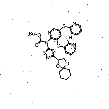 Cc1ncccc1Oc1cc(Sc2ccccn2)cnc1N(C(=O)OC(C)(C)C)c1nc([C@H]2COC3(CCCCC3)O2)ns1